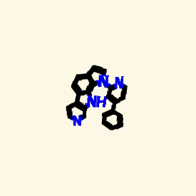 c1ccc(-c2ccnc(-n3ccc4ccc5c6ccncc6[nH]c5c43)c2)cc1